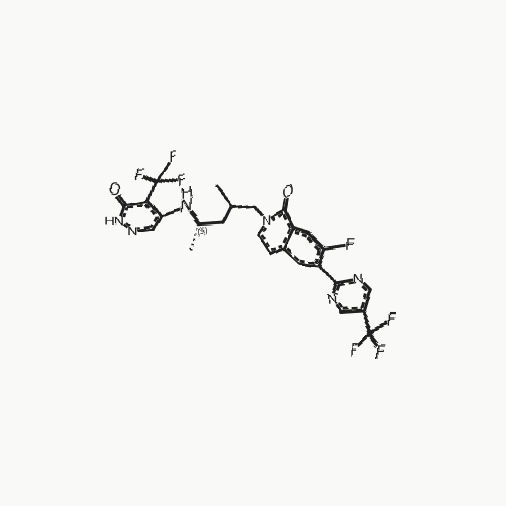 CC(C[C@H](C)Nc1cn[nH]c(=O)c1C(F)(F)F)Cn1ccc2cc(-c3ncc(C(F)(F)F)cn3)c(F)cc2c1=O